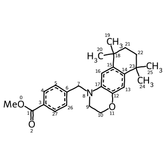 COC(=O)c1ccc(CN2CCOc3cc4c(cc32)C(C)(C)CCC4(C)C)cc1